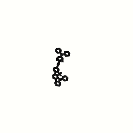 CC1(C)c2cc(C#Cc3ncc(N(c4ccccc4)c4ccccc4)cn3)ccc2-c2ccc3c4ccccc4n(-c4ccccc4)c3c21